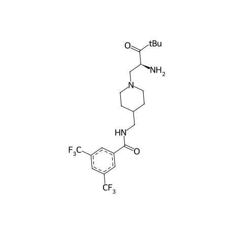 CC(C)(C)C(=O)[C@@H](N)CN1CCC(CNC(=O)c2cc(C(F)(F)F)cc(C(F)(F)F)c2)CC1